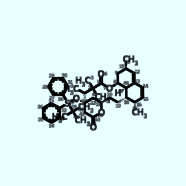 CCC(C)(C)C(=O)O[C@H]1C[C@@H](C)C=C2C=C[C@H](C)[C@H](CC[C@@H]3C[C@@H](O[Si](c4ccccc4)(c4ccccc4)C(C)(C)C)CC(=O)O3)[C@H]21